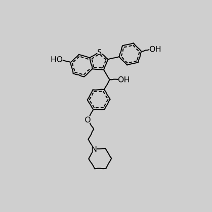 Oc1ccc(-c2sc3cc(O)ccc3c2C(O)c2ccc(OCCN3CCCCC3)cc2)cc1